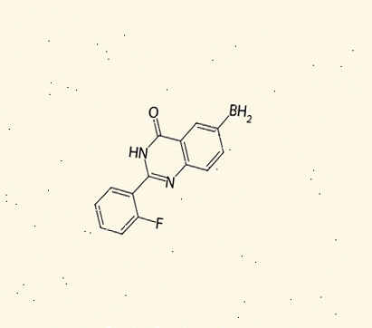 Bc1ccc2nc(-c3ccccc3F)[nH]c(=O)c2c1